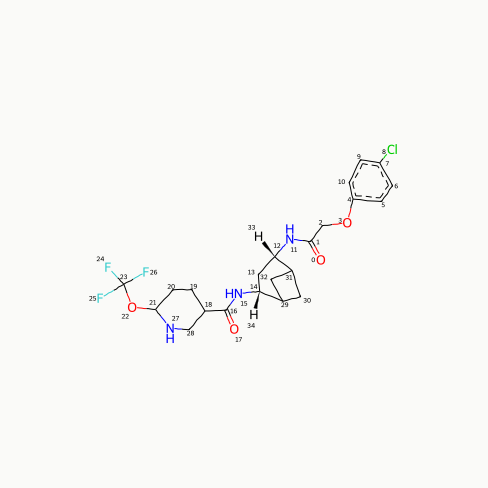 O=C(COc1ccc(Cl)cc1)N[C@H]1C[C@@H](NC(=O)C2CCC(OC(F)(F)F)NC2)C2CC1C2